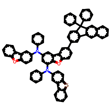 c1ccc(N(c2ccc3oc4ccccc4c3c2)c2cc(N(c3ccccc3)c3ccc4sc5ccccc5c4c3)c3oc4ccc(-c5ccc6c(c5)-c5cc7ccccc7cc5C6(c5ccccc5)c5ccccc5)cc4c3c2)cc1